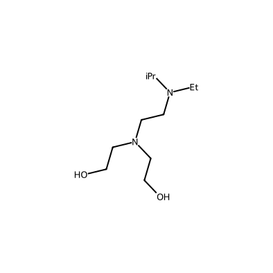 CCN(CCN(CCO)CCO)C(C)C